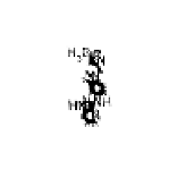 Cc1cc(Cn2ncc3cc(Nc4n[nH]c5cccnc45)ccc32)no1